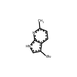 Cc1ccc2c(C(C)(C)C)c[nH]c2n1